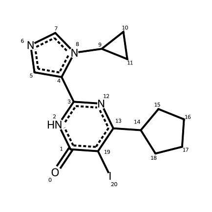 O=c1[nH]c(-c2cncn2C2CC2)nc(C2CCCC2)c1I